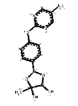 CC1OB(c2ccc(Oc3ncc([N+](=O)[O-])cn3)cc2)OC1(C)C